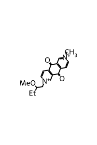 CCC(C[n+]1ccc2c(c1)C(=O)c1cc[n+](C)cc1C2=O)OC